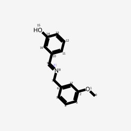 COc1cccc(C/N=C/c2cccc(O)c2)c1